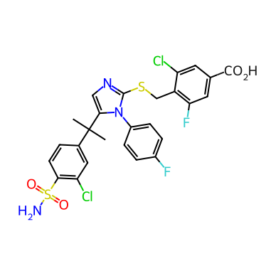 CC(C)(c1ccc(S(N)(=O)=O)c(Cl)c1)c1cnc(SCc2c(F)cc(C(=O)O)cc2Cl)n1-c1ccc(F)cc1